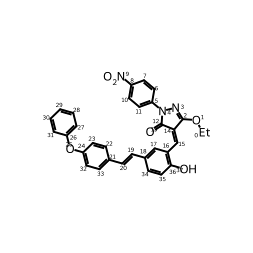 CCOC1=NN(c2ccc([N+](=O)[O-])cc2)C(=O)C1=Cc1cc(C=Cc2ccc(Oc3ccccc3)cc2)ccc1O